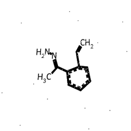 C=Cc1ccccc1C(C)=NN